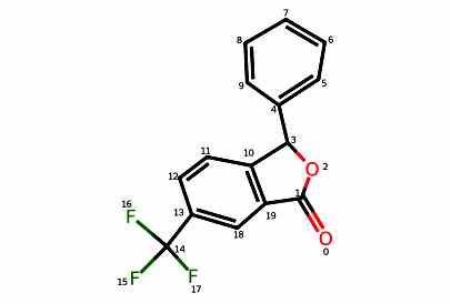 O=C1OC(c2ccccc2)c2ccc(C(F)(F)F)cc21